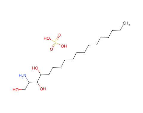 CCCCCCCCCCCCCCC(O)C(O)C(N)CO.O=S(=O)(O)O